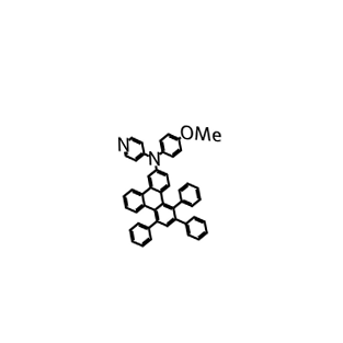 COc1ccc(N(c2ccncc2)c2ccc3c(c2)c2ccccc2c2c(-c4ccccc4)cc(-c4ccccc4)c(-c4ccccc4)c32)cc1